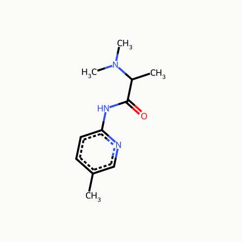 Cc1ccc(NC(=O)C(C)N(C)C)nc1